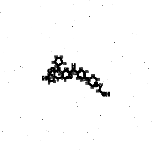 O=C1NCC[C@@]12Cc1cnc(Nc3ccc(N4CCN(CCO)CC4)cc3)nc1N(C1CCCC1)C2=O